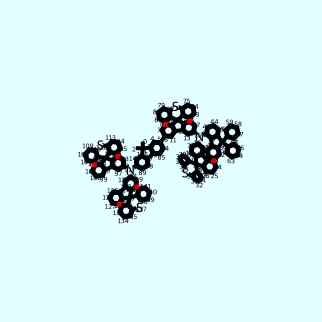 CC1(C)c2cc(-c3ccc4c(c3)-c3cc(N(c5ccc6c(c5)-c5ccccc5C65c6ccccc6Sc6ccccc65)c5cccc6c5-c5ccccc5C6(c5ccccc5)c5ccccc5)ccc3C43c4ccccc4Sc4ccccc43)ccc2-c2ccc(N(c3ccc4c(c3)-c3ccccc3C43c4ccccc4Sc4ccccc43)c3ccc4c(c3)-c3ccccc3C43c4ccccc4Sc4ccccc43)cc21